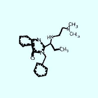 CCC(NCCN(C)C)c1nc2ccccc2c(=O)n1Cc1ccccc1